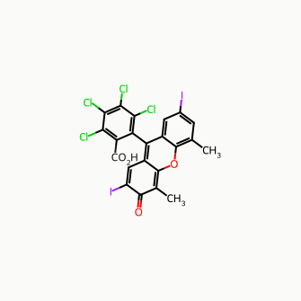 Cc1c2oc3c(C)cc(I)cc3c(-c3c(Cl)c(Cl)c(Cl)c(Cl)c3C(=O)O)c-2cc(I)c1=O